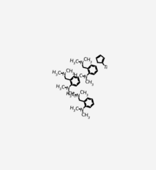 CN(C)Cc1ccccc1N(C)C.CN(C)Cc1ccccc1N(C)C.CN(C)Cc1ccccc1N(C)C.[Ti][C]1=CC=CC1